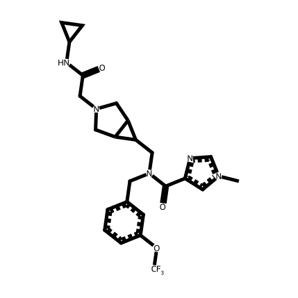 Cn1cnc(C(=O)N(Cc2cccc(OC(F)(F)F)c2)CC2C3CN(CC(=O)NC4CC4)CC32)c1